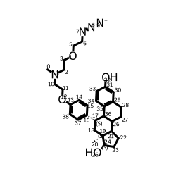 CN(CCOCCN=[N+]=[N-])CCOc1ccc([C@H]2C[C@@]3(C)C(CC[C@@H]3O)C3CCc4cc(O)ccc4C32)cc1